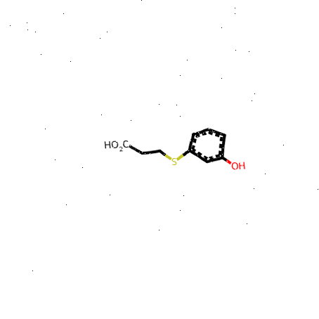 O=C(O)CCSc1cccc(O)c1